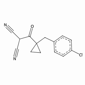 N#CC(C#N)C(=O)C1(Cc2ccc(Cl)cc2)CC1